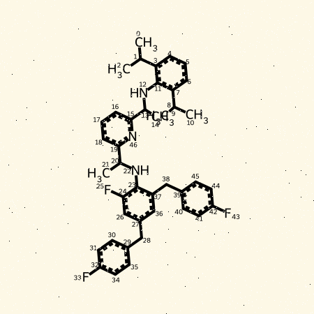 CC(C)c1cccc(C(C)C)c1NC(C)c1cccc(C(C)Nc2c(F)cc(Cc3ccc(F)cc3)cc2Cc2ccc(F)cc2)n1